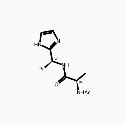 CC(=O)N[C@H](C)C(=O)N[C@H](c1ncc[nH]1)C(C)C